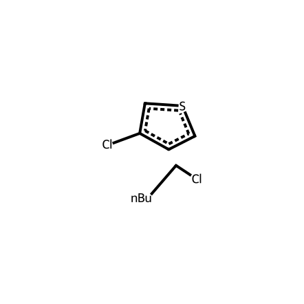 CCCCCCl.Clc1ccsc1